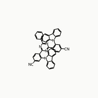 N#Cc1ccc(-c2nc(-c3ccccc3)nc(-c3ccc(C#N)cc3-n3c4ccccc4c4ccccc43)n2)c(-n2c3ccccc3c3ccccc32)c1